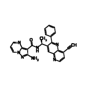 C#Cc1ccnc2cc([C@H](C)NC(=O)c3c(N)nn4cccnc34)c(-c3ccccc3)nc12